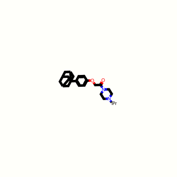 CC(C)N1CCN(C(=O)COc2ccc(C34CC5CC(CC(C5)C3)C4)cc2)CC1